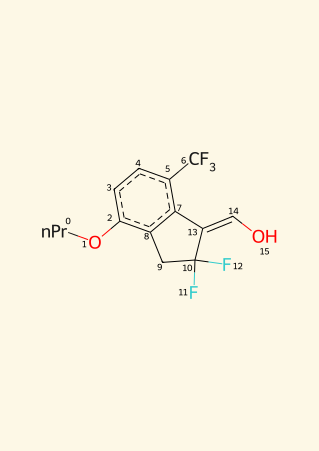 CCCOc1ccc(C(F)(F)F)c2c1CC(F)(F)/C2=C\O